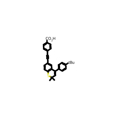 CC1(C)C=C(c2ccc(C(C)(C)C)cc2)c2cc(C#Cc3ccc(C(=O)O)cc3)ccc2S1